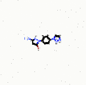 Nc1cc(Br)n(-c2ccc(-n3ccnn3)cc2)n1